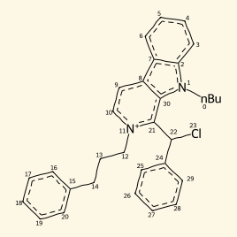 CCCCn1c2ccccc2c2cc[n+](CCCc3ccccc3)c(C(Cl)c3ccccc3)c21